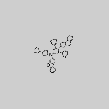 c1ccc(-c2ccc(N(c3cc(-c4ccccc4)c(-c4ccc5c(ccc6ccccc65)c4)c(-c4ccccc4)c3)c3ccc4c(c3)oc3ccccc34)cc2)cc1